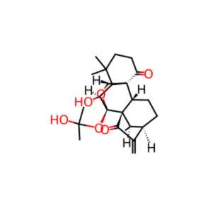 C=C1C(=O)[C@]23[C@H](C)[C@H]1CC[C@H]2[C@@]12CO[C@]3(OC(C)(C)O)[C@@H](O)[C@@H]1C(C)(C)CCC2=O